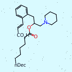 CCCCCCCCCCCCCCCC(=O)OC(Cc1ccccc1C=CC(=O)O)CN1CCCCC1